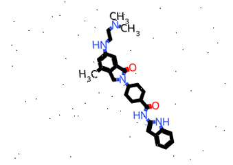 Cc1cc(NCCN(C)C)cc2c1CN(C1CCC(C(=O)Nc3cc4ccccc4[nH]3)CC1)C2=O